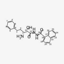 N[C@H](CCc1ccccc1)[C@H](O)C(=O)NNC(=O)c1cccc2ccccc12